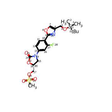 CC(C)(C)[Si](C)(C)OCc1coc(-c2ccc(N3C[C@H](COS(C)(=O)=O)OC3=O)cc2F)n1